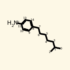 CC(C)CCCCCc1ccc(N)cc1